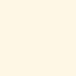 CC1(C)c2cc3c4ccccc4c4ccccc4c3cc2-c2cc3c(cc21)c1cc(-c2ccc4c(c2)c2ccccc2n4-c2ccccc2)ccc1n3-c1nc(-c2ccccc2)cc(-c2ccccc2)n1